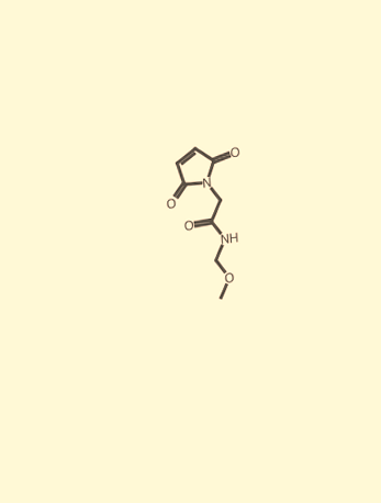 COCNC(=O)CN1C(=O)C=CC1=O